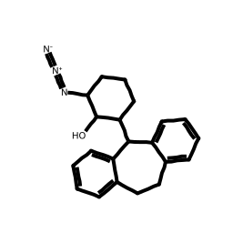 [N-]=[N+]=NC1CCCC(C2c3ccccc3CCc3ccccc32)C1O